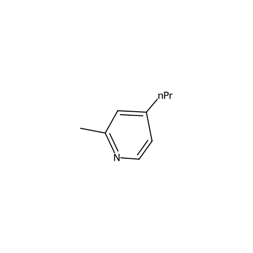 CCCc1ccnc(C)c1